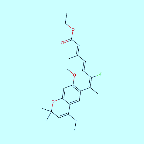 CCOC(=O)/C=C(C)/C=C/C(F)=C(/C)c1cc2c(cc1OC)OC(C)(C)C=C2CC